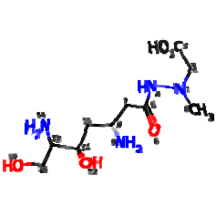 CN(CC(=O)O)NC(=O)C[C@H](N)C[C@@H](O)C(N)CO